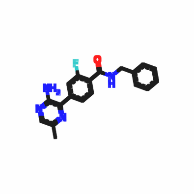 Cc1cnc(N)c(-c2ccc(C(=O)NCc3ccccc3)c(F)c2)n1